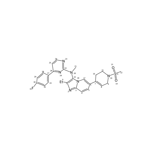 CCc1nc2ccc(C3=CCN(S(C)(=O)=O)CC3)cn2c1N(C)c1nccc(-c2ccc(F)cc2)n1